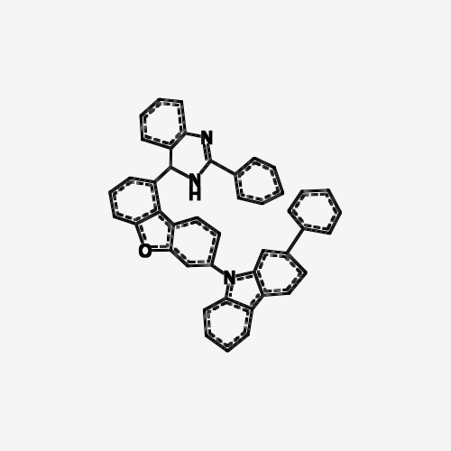 c1ccc(C2=Nc3ccccc3C(c3cccc4oc5cc(-n6c7ccccc7c7ccc(-c8ccccc8)cc76)ccc5c34)N2)cc1